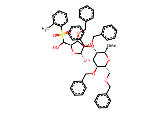 CO[C@H]1O[C@H](COCc2ccccc2)[C@@H](OCc2ccccc2)[C@H](O[C@@H]2O[C@@H](C(O)S(=O)(=O)c3ccccc3C)[C@@H](OCc3ccccc3)[C@@H]2OCc2ccccc2)[C@@H]1OCc1ccccc1